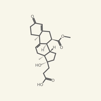 COC(=O)[C@@H]1CC2=CC(=O)CC[C@]2(C)C2=CC[C@@]3(C)[C@@H](CC[C@@]3(O)CCC(=O)O)[C@@H]21